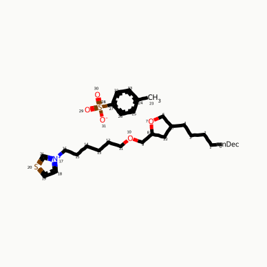 CCCCCCCCCCCCCCC1COC(COCCCCCC[n+]2ccsc2)C1.Cc1ccc(S(=O)(=O)[O-])cc1